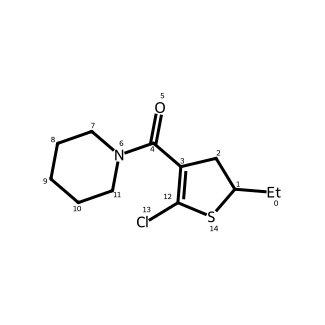 CCC1CC(C(=O)N2CCCCC2)=C(Cl)S1